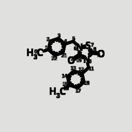 Cc1ccc(Cn2sc(=O)n(Cc3ccc(C)cc3)c2=O)cc1